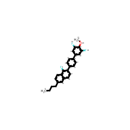 CCCCc1ccc2c(F)c(-c3ccc(-c4cc(F)c(OC)c(F)c4)cc3)ccc2c1